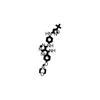 CC(C)(C)c1cc(Nc2ccc(Nc3ncnc(N)c3C(=N)c3ccc(OCN4CCOCC4)cc3)cc2)no1